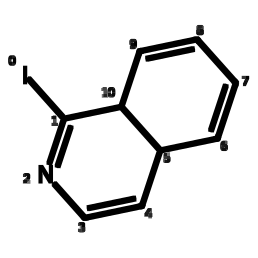 IC1=NC=CC2C=CC=CC12